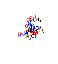 CSC1(C(=O)O)CS[C@@H]2C(NC(=O)C(=NOC(C)(C(=O)I)C(=O)OC(C)(C)C)c3csc(NC=O)n3)C(=O)N2C1